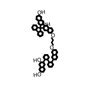 Oc1ccc2cc(-c3ccccc3-c3ccccc3-c3ccc4ccc(OCCCCOc5ccc6ccc(C7(c8cc9ccc(O)cc9cc8O)c8ccccc8-c8ccccc87)cc6c5)cc4c3)c(O)cc2c1